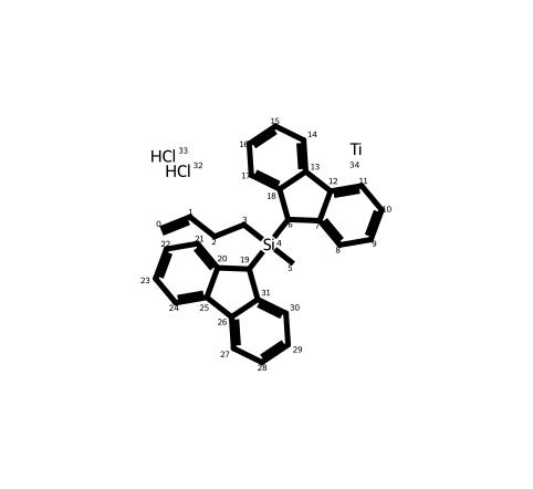 C=CCC[Si](C)(C1c2ccccc2-c2ccccc21)C1c2ccccc2-c2ccccc21.Cl.Cl.[Ti]